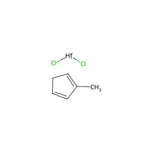 CC1=C[CH]C=C1.[Cl][Hf][Cl]